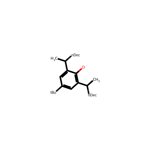 CCCCCCCCCCC(C)c1cc(C(C)(C)C)cc(C(C)CCCCCCCCCC)c1[O]